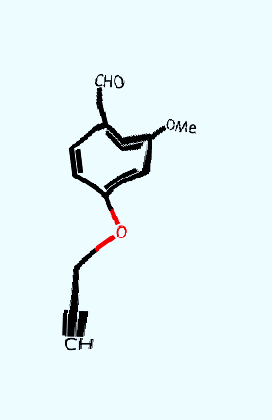 C#CCOc1ccc(C=O)c(OC)c1